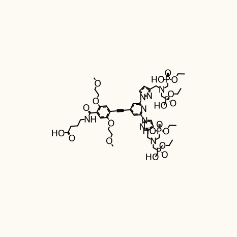 CCOP(=O)(O)CN(Cc1ccn(-c2cc(C#Cc3cc(OCCOC)c(C(=O)NCCCC(=O)O)cc3OCCOC)cc(-n3ccc(CN(CP(=O)(O)OCC)CP(=O)(O)OCC)n3)n2)n1)CP(=O)(O)OCC